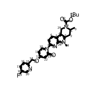 CC1Cc2c(c3ccc(-n4ccc(OCc5ccc(F)cn5)cc4=O)nc3n2C)CN1C(=O)OC(C)(C)C